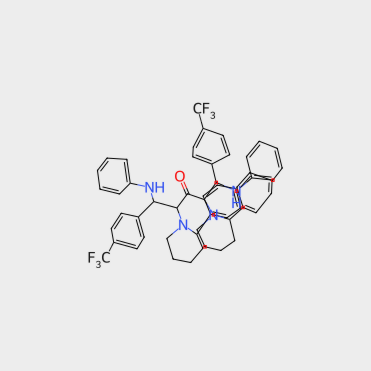 O=C(C(C(Nc1ccccc1)c1ccc(C(F)(F)F)cc1)N1CCCCC1c1ccccc1)C(C(Nc1ccccc1)c1ccc(C(F)(F)F)cc1)N1CCCCC1c1ccccc1